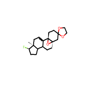 C[C@]12CC=C3C(CC[C@@]45CC6(CC[C@@]34O5)OCCO6)C1CC[C@H]2F